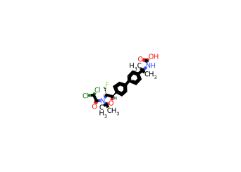 CC(C)(NC(=O)O)c1ccc(-c2ccc([C@H]3OC(C)(C)N(C(=O)C(Cl)Cl)[C@@H]3CF)cc2)cc1